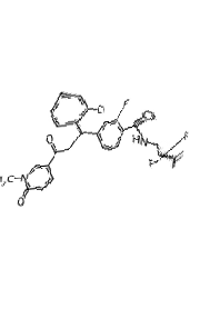 Cn1cc(C(=O)CC(c2ccc(C(=O)NCC(F)(F)F)c(F)c2)c2ccccc2Cl)ccc1=O